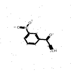 C#CC(=O)c1cccc([N+](=O)[O-])c1